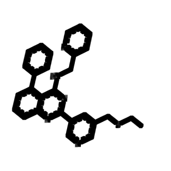 CCSCc1cncc(-c2nc(NCc3ccccn3)c3c(-c4ccccc4)cccc3n2)c1